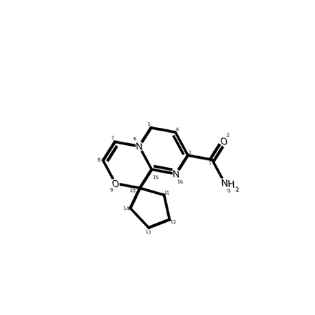 NC(=O)C1=CCN2C=COC3(CCCC3)C2=N1